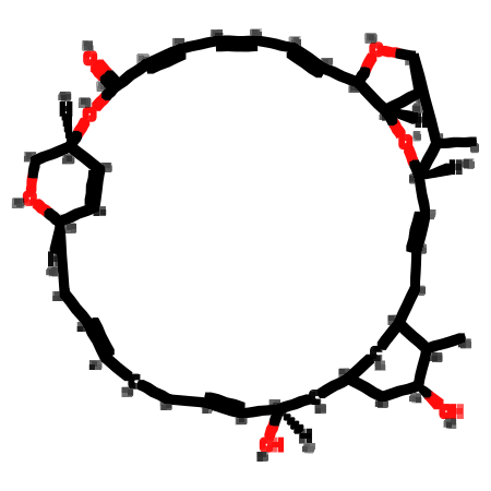 CC1C2C[C@@H]3O[C@H]1/C=C/CC1CC(C[C@@H](O)/C=C/CC/C=C/C[C@H]4C=C[C@@H](CO4)OC(=O)\C=C/C=C\C=C\C3O2)C[C@H](O)C1C